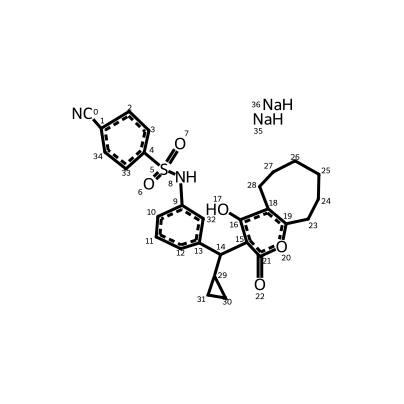 N#Cc1ccc(S(=O)(=O)Nc2cccc(C(c3c(O)c4c(oc3=O)CCCCCC4)C3CC3)c2)cc1.[NaH].[NaH]